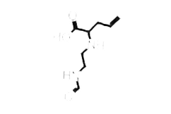 C=CCC(NCCNC=O)C(=O)O